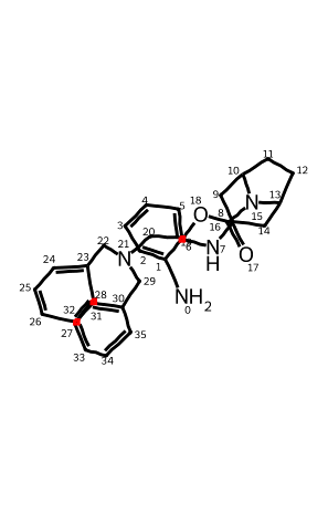 Nc1ccccc1NC1CC2CCC(C1)N2C(=O)OCCN(Cc1ccccc1)Cc1ccccc1